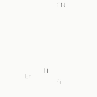 CCN(C1CC=C(C#N)CC1)[Si](C)(C)C